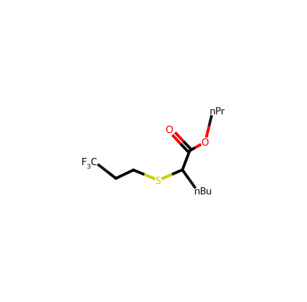 CCCCC(SCCC(F)(F)F)C(=O)OCCC